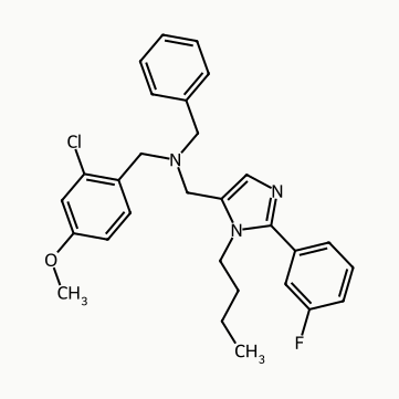 CCCCn1c(CN(Cc2ccccc2)Cc2ccc(OC)cc2Cl)cnc1-c1cccc(F)c1